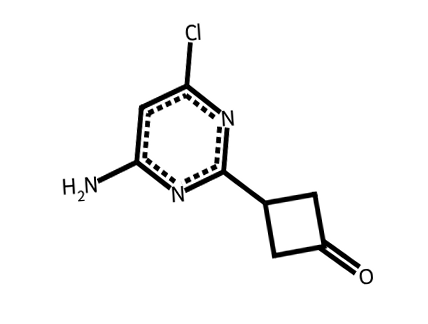 Nc1cc(Cl)nc(C2CC(=O)C2)n1